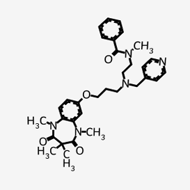 CN(CCN(CCCOc1ccc2c(c1)N(C)C(=O)C(C)(C)C(=O)N2C)Cc1ccncc1)C(=O)c1ccccc1